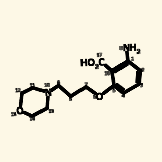 Nc1cccc(OCCCN2CCOCC2)c1C(=O)O